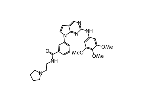 COc1cc(Nc2ncc3ccn(-c4cccc(C(=O)NCCN5CCCC5)c4)c3n2)cc(OC)c1OC